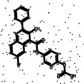 Cc1c(-c2ccccc2)nc2ccc(Br)cc2c1C(=O)Nc1cnc(OC(=O)O)nc1